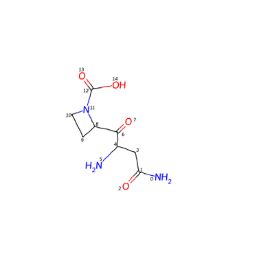 NC(=O)CC(N)C(=O)C1CCN1C(=O)O